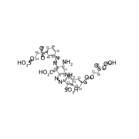 Nc1cc(N)c(/N=N\c2ccc3cc(SOOCCS(=O)OOO)ccc3c2S(=O)(=O)O)c(C(=O)O)c1N=Nc1cccc(S(=O)(=O)CCOS(=O)(=O)O)c1